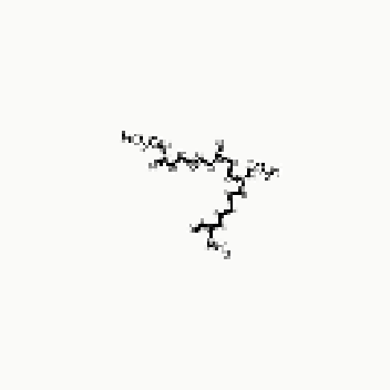 C=C/C(N)=C\C=C\CCN(CCN(C)CCOCCN(C)CC(=O)O)CC(=O)O